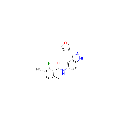 Cc1ccc(C#N)c(F)c1C(=O)Nc1ccc2[nH]nc(-c3ccoc3)c2c1